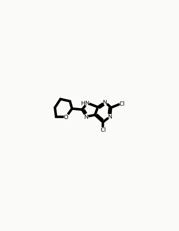 Clc1nc(Cl)c2nc(C3CCCCO3)[nH]c2n1